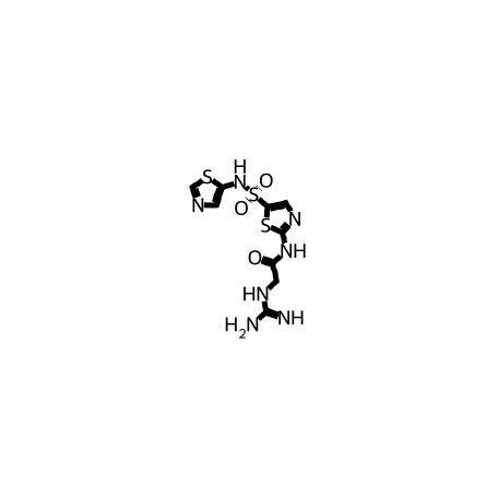 N=C(N)NCC(=O)Nc1ncc(S(=O)(=O)Nc2cncs2)s1